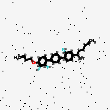 C=CCCCC(CCC)c1ccc(-c2ccc(-c3ccc(OCCC=C)c(F)c3F)cc2)c(F)c1